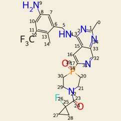 Cc1nc(NCc2cc(N)cc(C(F)(F)F)c2C)c2cc(P3(=O)CCN(C(=O)C4(F)CC4)CC3)ncc2n1